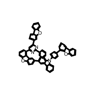 c1ccc(-c2nc(-c3ccc4c(c3)oc3ccccc34)cc(-c3cccc4oc5ccc(-c6ccc7c(c6)c6ccccc6n7-c6ccc(-c7cccc8c7oc7ccccc78)cc6)cc5c34)n2)cc1